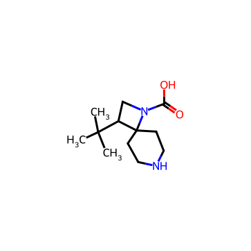 CC(C)(C)C1CN(C(=O)O)C12CCNCC2